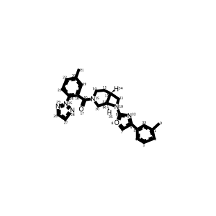 Cc1cccc(-c2coc(N3C[C@@H]4CCN(C(=O)c5cc(C)ccc5-n5nccn5)C[C@@H]43)n2)c1